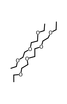 CCOCCOCCOCC.CCOCCOCCOCCOCC